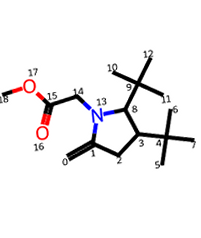 C=C1CC(C(C)(C)C)C(C(C)(C)C)N1CC(=O)OC